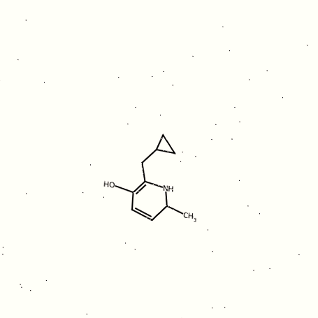 CC1C=CC(O)=C(CC2CC2)N1